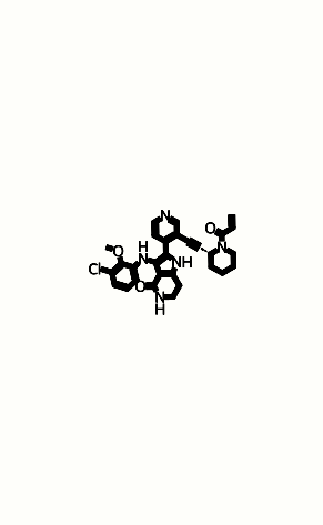 C=CC(=O)N1CCCC[C@@H]1C#Cc1cnccc1-c1[nH]c2c(c1Nc1cccc(Cl)c1OC)C(=O)NCC2